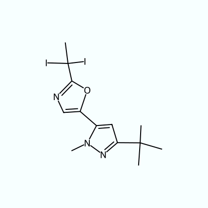 Cn1nc(C(C)(C)C)cc1-c1cnc(C(C)(I)I)o1